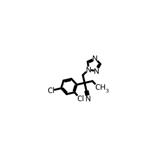 CCC(C#N)(Cn1cncn1)c1ccc(Cl)cc1Cl